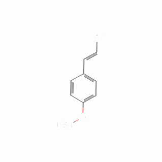 CCCCOc1ccc(C=CC(C)=O)cc1